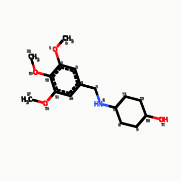 COc1cc(CNC2CCC(O)CC2)cc(OC)c1OC